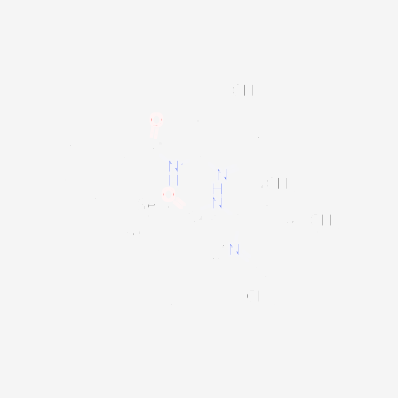 Cc1cc(C)nc(NC(=O)c2ccccc2[Se][Se]c2ccccc2C(=O)Nc2cc(C)cc(C)n2)c1